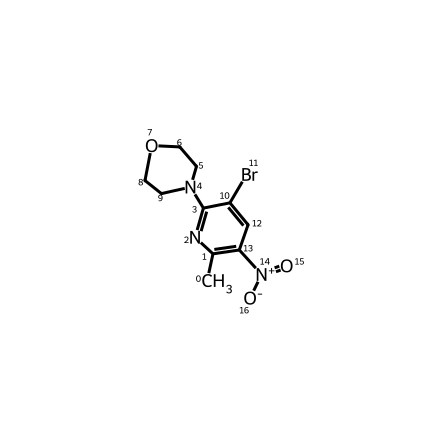 Cc1nc(N2CCOCC2)c(Br)cc1[N+](=O)[O-]